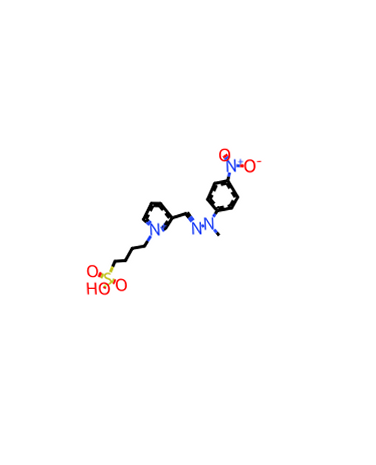 CN(N=Cc1ccc[n+](CCCCS(=O)(=O)O)c1)c1ccc([N+](=O)[O-])cc1